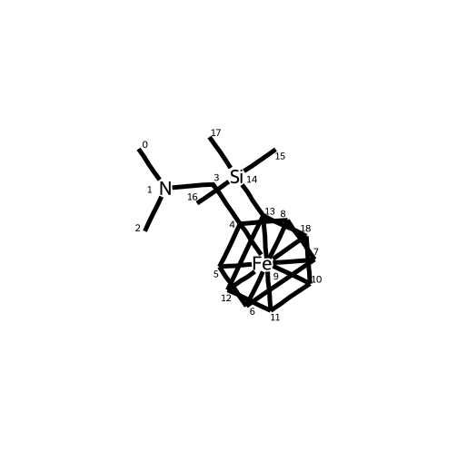 CN(C)C[C]12[CH]3[CH]4[CH]5[CH]1[Fe]45321678[CH]2[CH]1[CH]6[C]7([Si](C)(C)C)[CH]28